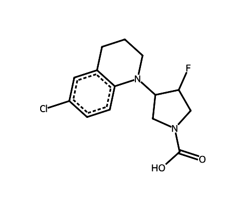 O=C(O)N1CC(F)C(N2CCCc3cc(Cl)ccc32)C1